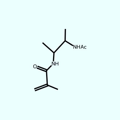 C=C(C)C(=O)NC(C)C(C)NC(C)=O